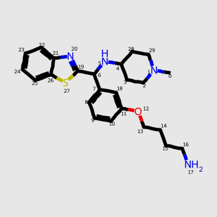 CN1CCC(NC(c2cccc(OCCCCN)c2)c2nc3ccccc3s2)CC1